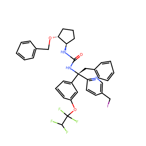 O=C(N[C@@H]1CCC[C@H]1OCc1ccccc1)N[C@@](Cc1ccccc1)(c1cccc(OC(F)(F)C(F)F)c1)c1ccc(CI)cn1